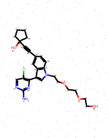 Nc1ncc(Cl)c(-c2cn(CCOCCOCCO)c3ccc(C#CC4(O)CCCC4)cc23)n1